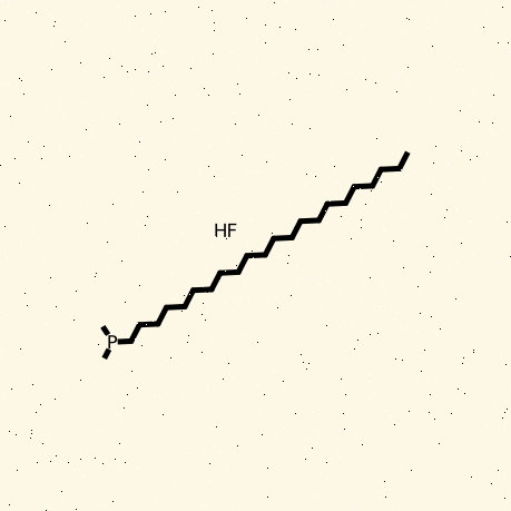 CCCCCCCCCCCCCCCCCCCCCCP(C)C.F